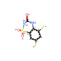 O=C1Nc2c(F)cc(F)cc2S(=O)(=O)N1